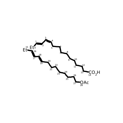 CC/C=C/C=C\CCCCCCCCCC(=O)O.CCC=CC=CCCCCCCCCOC(C)=O